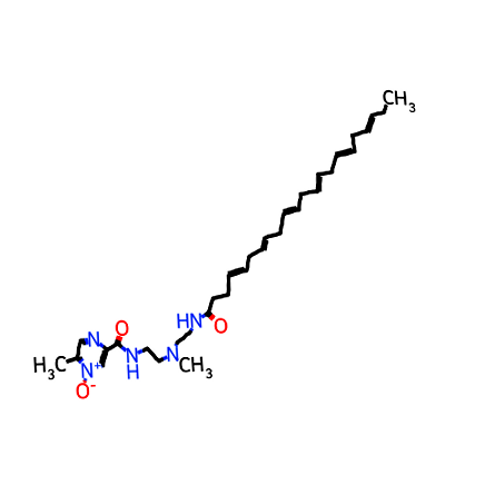 CCC=CCC=CCC=CCC=CCC=CCC=CCCC(=O)NCCN(C)CCNC(=O)c1c[n+]([O-])c(C)cn1